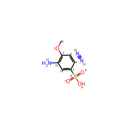 COc1ccc(S(=O)(=O)O)cc1N.N#N